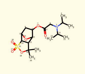 CC(C)N(CC(=O)OC1CC2OC1C1C2S(=O)(=O)OC1(C)C)C(C)C